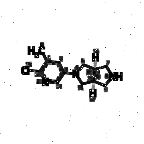 Cc1cc(N2C[C@H]3CNC[C@H]3C2)cnc1Cl